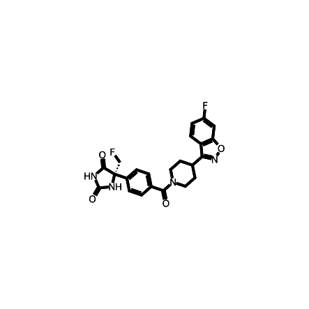 O=C1NC(=O)[C@@](CF)(c2ccc(C(=O)N3CCC(c4noc5cc(F)ccc45)CC3)cc2)N1